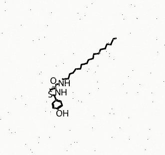 CCCCCCCCCCCCCCCCCCNC(=O)[C@@H]1CSC(c2ccc(O)cc2)N1